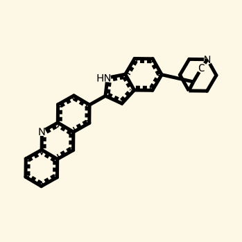 c1ccc2nc3ccc(-c4cc5cc(C6CN7CCC6CC7)ccc5[nH]4)cc3cc2c1